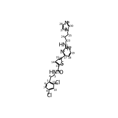 O=C(NCCc1ccc(Cl)cc1Cl)c1ccc(-c2ccnc(NCCCn3ccnc3)n2)s1